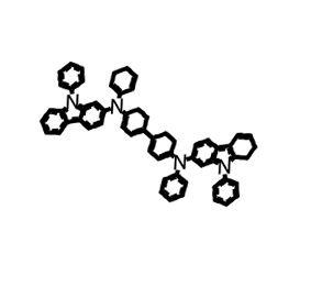 C1=CC(N(C2=CC=C(C3=CC=C(N(c4ccccc4)c4ccc5c6c(n(-c7ccccc7)c5c4)CCC=C6)CC3)CC2)c2ccc3c4ccccc4n(-c4ccccc4)c3c2)=CCC1